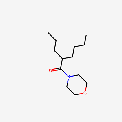 CCCCC(CCC)C(=O)N1CCOCC1